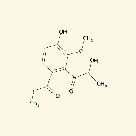 CCC(=O)c1ccc(O)c(OC)c1C(=O)C(C)O